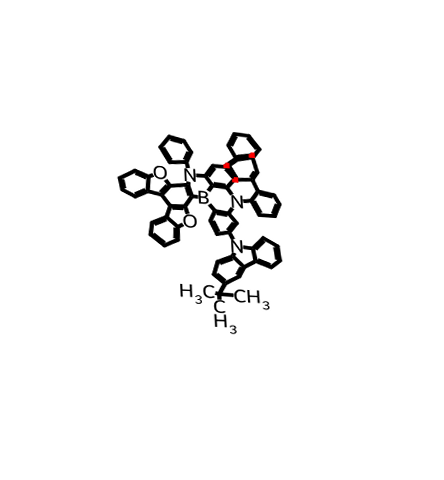 CC(C)(C)c1ccc2c(c1)c1ccccc1n2-c1ccc2c(c1)N(c1ccccc1-c1ccccc1)c1cc(-c3ccccc3)cc3c1B2c1c(c2oc4ccccc4c2c2c1oc1ccccc12)N3c1ccccc1